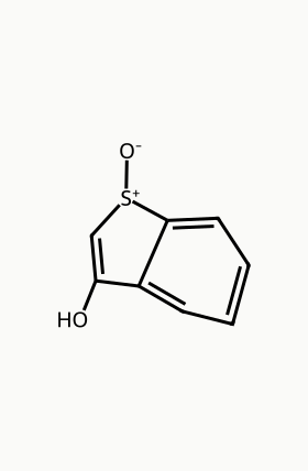 [O-][s+]1cc(O)c2ccccc21